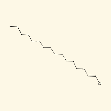 C[CH]CCCCCCCCCCCCC=CCl